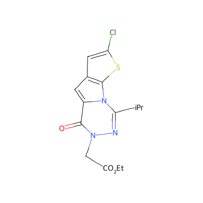 CCOC(=O)Cn1nc(C(C)C)n2c(cc3cc(Cl)sc32)c1=O